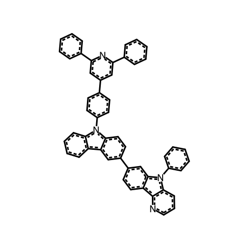 c1ccc(-c2cc(-c3ccc(-n4c5ccccc5c5cc(-c6ccc7c8ncccc8n(-c8ccccc8)c7c6)ccc54)cc3)cc(-c3ccccc3)n2)cc1